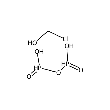 O=[PH](O)O[PH](=O)O.OCCl